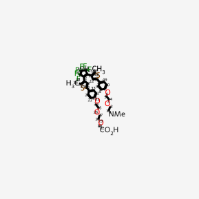 CNCCOCCOc1ccc(-c2cc(C3=C(c4cc(-c5ccc(OCCOCCOCC(=O)O)cc5)sc4C)C(F)(F)C(F)(F)C3(F)F)c(C)s2)cc1